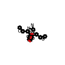 N#Cc1ccc(-n2c3ccc(-c4ccc5oc6ccccc6c5c4)cc3c3c4oc5ccccc5c4ccc32)c(-n2c3ccc(-c4ccc5oc6ccccc6c5c4)cc3c3c4oc5ccccc5c4ccc32)c1C#N